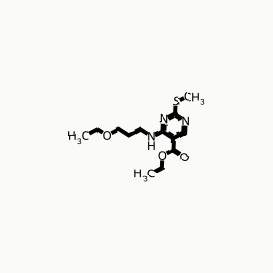 CCOCCCNc1nc(SC)ncc1C(=O)OCC